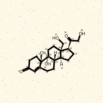 C[C@]12CCC(=O)C=C1CC[C@H]1[C@@H]3CC[C@H](C(=O)CO)[C@@]3(CO)CC[C@@]12O